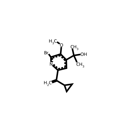 C=C(c1cc(C(C)(C)O)c(OC)c(Br)n1)C1CC1